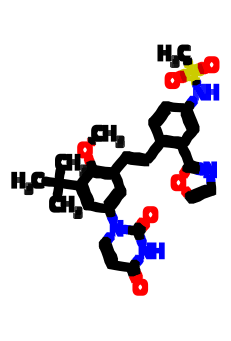 COc1c(C=Cc2ccc(NS(C)(=O)=O)cc2-c2ncco2)cc(-n2ccc(=O)[nH]c2=O)cc1C(C)(C)C